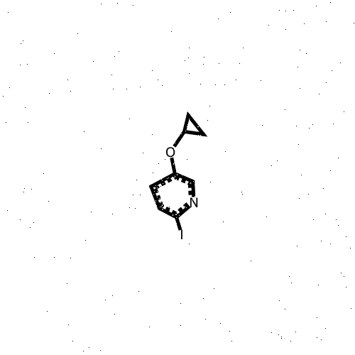 Ic1ccc(OC2CC2)cn1